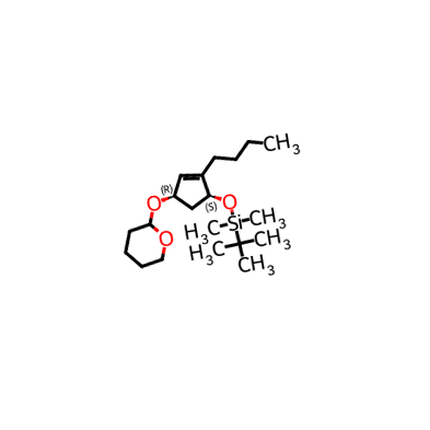 CCCCC1=C[C@H](OC2CCCCO2)C[C@@H]1O[Si](C)(C)C(C)(C)C